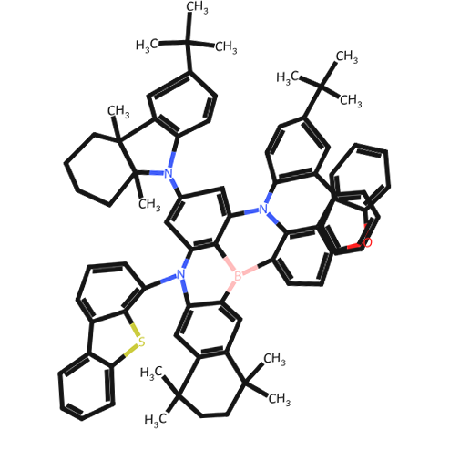 CC(C)(C)c1ccc(N2c3cc(N4c5ccc(C(C)(C)C)cc5C5(C)CCCCC45C)cc4c3B(c3cc5c(cc3N4c3cccc4c3sc3ccccc34)C(C)(C)CCC5(C)C)c3ccc4oc5ccccc5c4c32)c(-c2ccccc2)c1